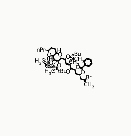 C=C(Br)C[C@@H](CCC(=O)/C=C/[C@H](O[Si](C)(C)C(C)(C)C)[C@@H]1O[C@H]2CC[C@H](CCC)O[C@@H]2[C@H](O[Si](C)(C)C(C)(C)C)[C@@H]1O[Si](C)(C)C(C)(C)C)OC(=O)c1ccccc1